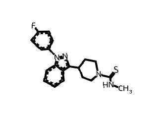 CNC(=S)N1CCC(c2nn(-c3ccc(F)cc3)c3ccccc23)CC1